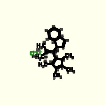 CC1=C(C)C(C)[C]([Ti+2]([CH]2C=Cc3ccccc32)=[Si](C)C)=C1C.[Cl-].[Cl-]